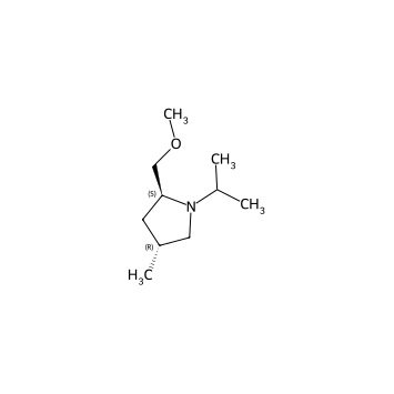 COC[C@@H]1C[C@@H](C)CN1C(C)C